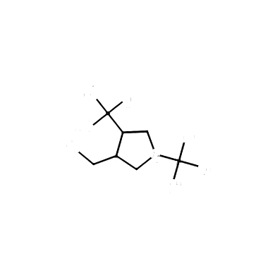 CCC1CN(C(C)(C)C)CC1C(C)(C)C